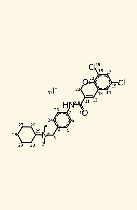 C[N+](C)(Cc1ccc(NC(=O)C2=Cc3cc(Cl)cc(Cl)c3OC2)cc1)C1CCCCC1.[I-]